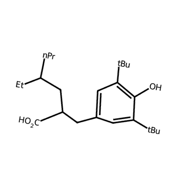 CCCC(CC)CC(Cc1cc(C(C)(C)C)c(O)c(C(C)(C)C)c1)C(=O)O